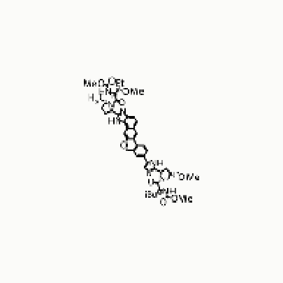 CC[C@H](C)[C@H](NC(=O)OC)C(=O)N1C[C@@H](COC)CC1c1ncc(-c2ccc3c(c2)COc2cc4c(ccc5nc(C6CC[C@H](C)N6C(=O)[C@@H](NC(=O)OC)[C@@H](CC)OC)[nH]c54)cc2-3)[nH]1